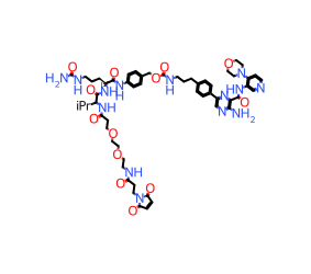 CC(C)C(NC(=O)CCOCCOCCNC(=O)CCN1C(=O)C=CC1=O)C(=O)N[C@@H](CCCNC(N)=O)C(=O)Nc1ccc(COC(=O)NCCCc2ccc(-c3cnc(N)c(C(=O)Nc4cnccc4N4CCOCC4)n3)cc2)cc1